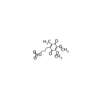 COC1=C(OC)C(=O)C(CCCO[N+](=O)[O-])=C(C)C1=O